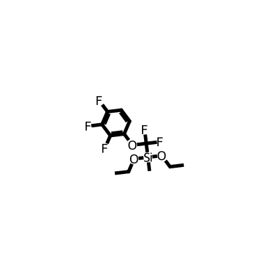 CCO[Si](C)(OCC)C(F)(F)Oc1ccc(F)c(F)c1F